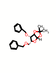 CC1(C)OC2[C@@H](O[C@H](COCc3ccccc3)[C@@H]2OCc2ccccc2)O1